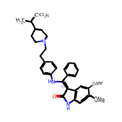 COc1cc2c(cc1OC)/C(=C(/Nc1ccc(CCN3CCC(C(C)C(=O)O)CC3)cc1)c1ccccc1)C(=O)N2